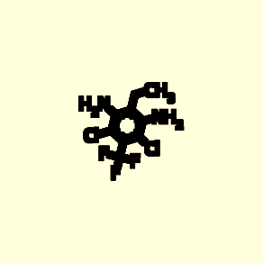 CCc1c(N)c(Cl)c(C(F)(F)F)c(Cl)c1N